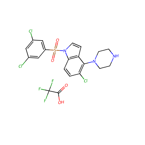 O=C(O)C(F)(F)F.O=S(=O)(c1cc(Cl)cc(Cl)c1)n1ccc2c(N3CCNCC3)c(Cl)ccc21